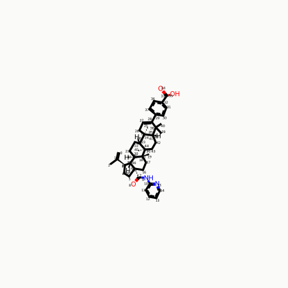 C=C(C)[C@@H]1CC[C@]2(C(=O)Nc3ccccn3)CC[C@]3(C)[C@H](CC[C@@H]4[C@@]5(C)CC=C(c6ccc(C(=O)O)cc6)C(C)(C)[C@@H]5CC[C@]43C)[C@@H]12